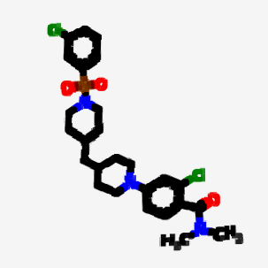 CN(C)C(=O)c1ccc(N2CCC(CC3CCN(S(=O)(=O)c4cccc(Cl)c4)CC3)CC2)cc1Cl